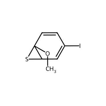 COC12C=CC(I)=CC1S2